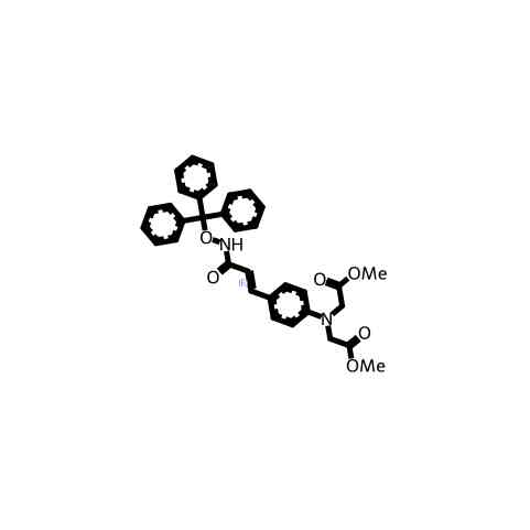 COC(=O)CN(CC(=O)OC)c1ccc(/C=C/C(=O)NOC(c2ccccc2)(c2ccccc2)c2ccccc2)cc1